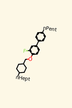 CCCCCCCC1CCC(COc2ccc(-c3ccc(CCCCC)cc3)cc2F)CC1